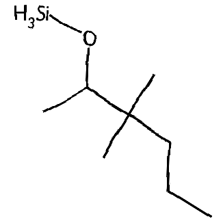 CCCC(C)(C)C(C)O[SiH3]